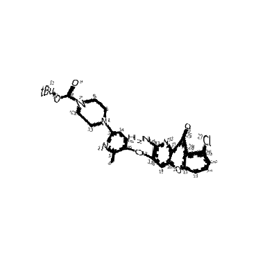 Cc1nc(N2CCN(C(=O)OC(C)(C)C)CC2)ccc1Oc1cc2oc3cccc(Cl)c3c(=O)c2nc1N